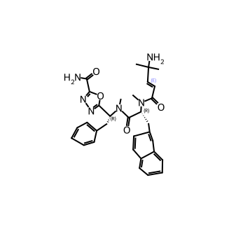 CN(C(=O)/C=C/C(C)(C)N)[C@H](Cc1ccc2ccccc2c1)C(=O)N(C)[C@H](Cc1ccccc1)c1nnc(C(N)=O)o1